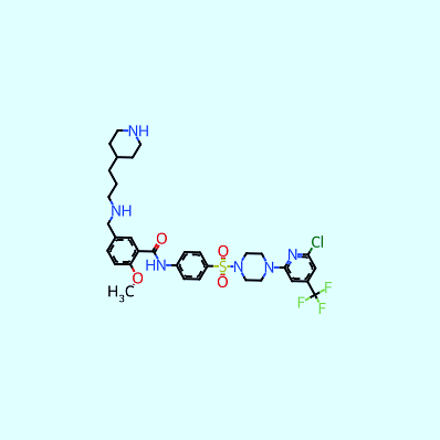 COc1ccc(CNCCCC2CCNCC2)cc1C(=O)Nc1ccc(S(=O)(=O)N2CCN(c3cc(C(F)(F)F)cc(Cl)n3)CC2)cc1